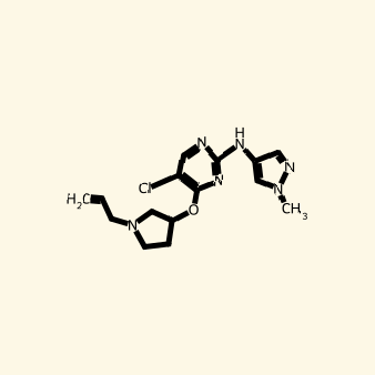 C=CCN1CCC(Oc2nc(Nc3cnn(C)c3)ncc2Cl)C1